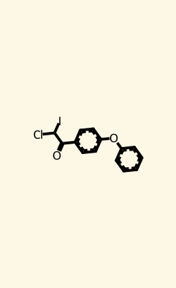 O=C(c1ccc(Oc2ccccc2)cc1)C(Cl)I